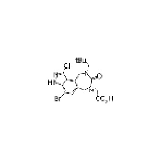 CC(C)(C)CN1Cc2c(cc(Br)c3[nH]nc(Cl)c23)C[C@@H](CC(=O)O)C1=O